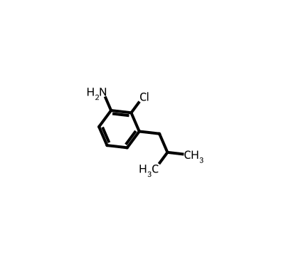 CC(C)Cc1cccc(N)c1Cl